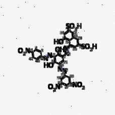 O=[N+]([O-])c1ccc(/N=N/c2c(O)c(/N=N/c3cc([N+](=O)[O-])cc([N+](=O)[O-])c3)cc(/N=N/c3cc(S(=O)(=O)O)cc4cc(S(=O)(=O)O)cc(O)c34)c2O)cc1